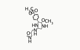 COC1NCC(NCC2CNCO2)NC1c1ccc(S(C)(=O)=O)cc1